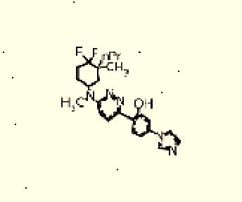 CCC[C@@]1(C)C[C@@H](N(C)c2ccc(-c3ccc(-n4ccnc4)cc3O)nn2)CCC1(F)F